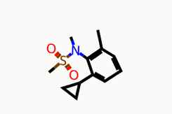 Cc1cccc(C2CC2)c1N(C)S(C)(=O)=O